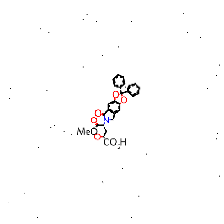 COC(=O)[C@H](CC(=O)C(=O)O)N1Cc2cc3c(cc2C1=O)OC(c1ccccc1)(c1ccccc1)O3